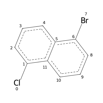 Clc1cccc2c(Br)cccc12